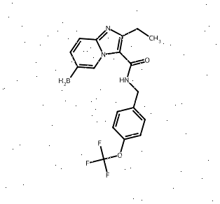 Bc1ccc2nc(CC)c(C(=O)NCc3ccc(OC(F)(F)F)cc3)n2c1